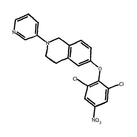 O=[N+]([O-])c1cc(Cl)c(Oc2ccc3c(c2)CCN(c2cccnc2)C3)c(Cl)c1